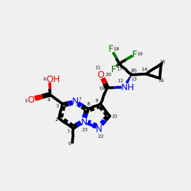 Cc1cc(C(=O)O)nc2c(C(=O)N[C@H](C3CC3)C(F)(F)F)cnn12